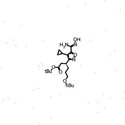 CCCCOCCC[C@@H](CC(=O)OC(C)(C)C)c1noc(/C(N)=N/O)c1C1CC1